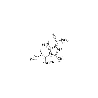 CCCCCCC(C(C)OC(C)=O)n1cnc(C(N)=O)c1N.Cl